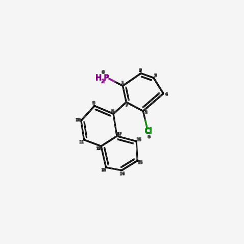 Pc1cccc(Cl)c1-c1cccc2ccccc12